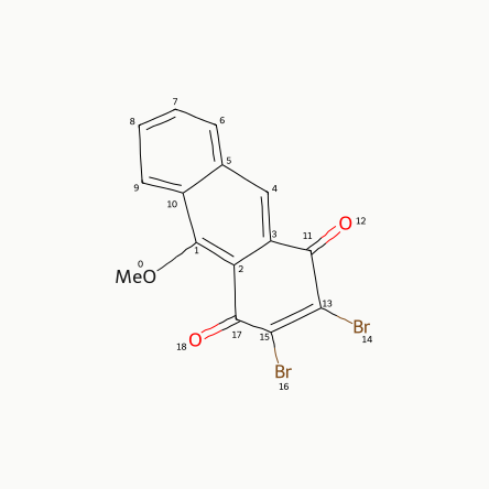 COc1c2c(cc3ccccc13)C(=O)C(Br)=C(Br)C2=O